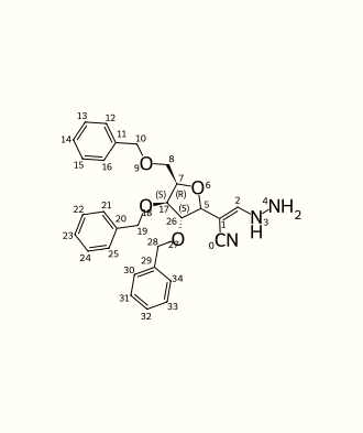 N#CC(=CNN)C1O[C@H](COCc2ccccc2)[C@H](OCc2ccccc2)[C@H]1OCc1ccccc1